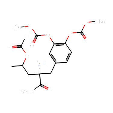 CCCCOC(=O)Oc1ccc(C[C@](N)(CC(C)OC(=O)CC)C(=O)OC)cc1OC(=O)OCCCC